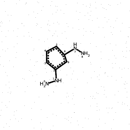 NNc1cccc(NN)c1